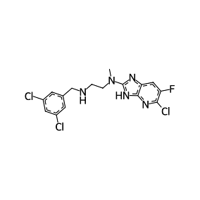 CN(CCNCc1cc(Cl)cc(Cl)c1)c1nc2cc(F)c(Cl)nc2[nH]1